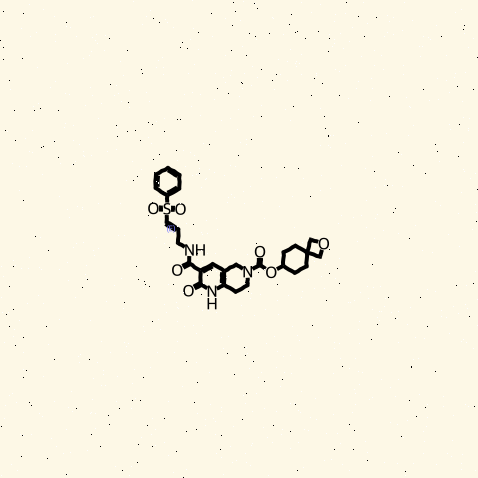 O=C(NC/C=C/S(=O)(=O)c1ccccc1)c1cc2c([nH]c1=O)CCN(C(=O)OC1CCC3(CC1)COC3)C2